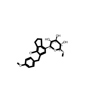 COc1ccc(Cc2cc([C@@H]3O[C@H](SC)[C@@H](O)[C@H](O)[C@H]3O)c3c(c2Cl)CCC3)cc1